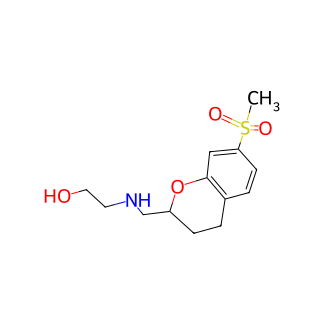 CS(=O)(=O)c1ccc2c(c1)OC(CNCCO)CC2